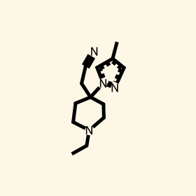 CCN1CCC(CC#N)(n2cc(C)cn2)CC1